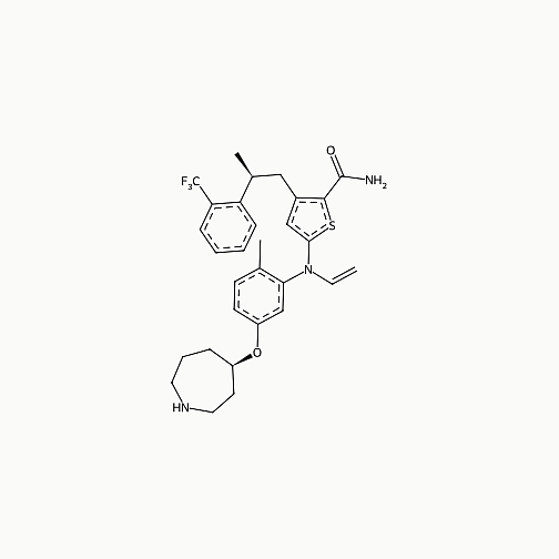 C=CN(c1cc(C[C@H](C)c2ccccc2C(F)(F)F)c(C(N)=O)s1)c1cc(O[C@@H]2CCCNCC2)ccc1C